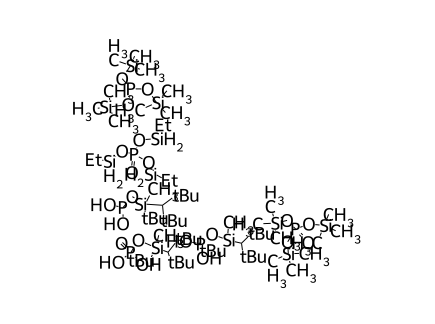 CC(C)(C)C(C(C)(C)C)[Si](C)(OP(=O)(O)O)C(C)(C)C.CC(C)(C)C(C(C)(C)C)[Si](C)(OP(O)O)C(C)(C)C.CC(C)(C)C(C(C)(C)C)[Si](C)(OP(O)O)C(C)(C)C.CC[SiH2]OP(=O)(O[SiH2]CC)O[SiH2]CC.C[Si](C)(C)OP(=O)(O[Si](C)(C)C)O[Si](C)(C)C.C[Si](C)(C)OP(O[Si](C)(C)C)O[Si](C)(C)C